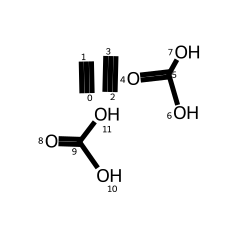 C#C.C#C.O=C(O)O.O=C(O)O